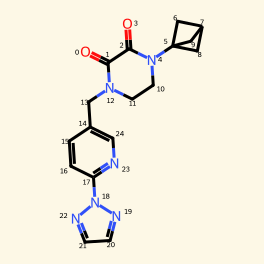 O=C1C(=O)N(C23CC(C2)C3)CCN1Cc1ccc(-n2nccn2)nc1